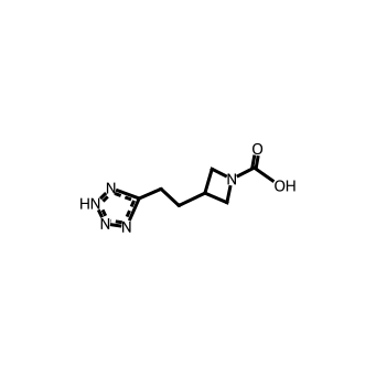 O=C(O)N1CC(CCc2nn[nH]n2)C1